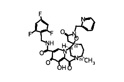 C[C@H]1CC[C@]2(CC(=O)N(Cc3ccccn3)O2)[C@H]2CN1C(=O)c1c(O)c(=O)c(C(=O)NCc3c(F)cc(F)cc3F)cn12